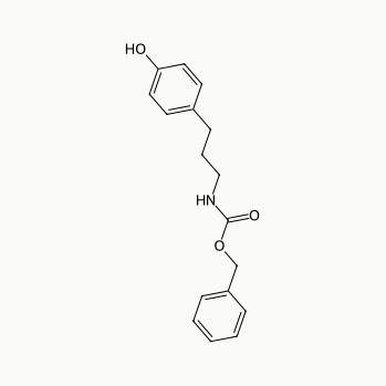 O=C(NCCCc1ccc(O)cc1)OCc1ccccc1